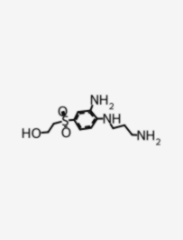 NCCCNc1ccc(S(=O)(=O)CCO)cc1N